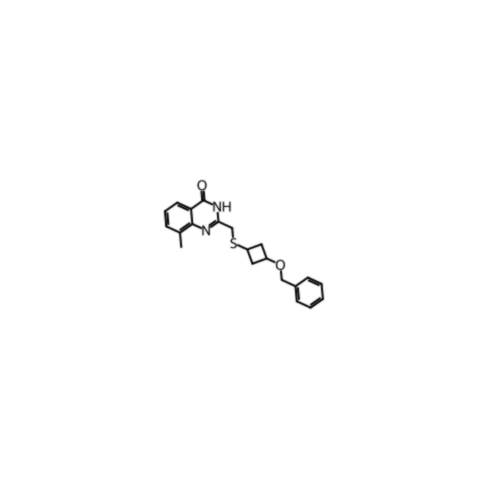 Cc1cccc2c(=O)[nH]c(CSC3CC(OCc4ccccc4)C3)nc12